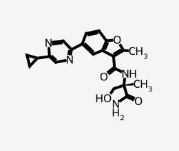 Cc1oc2ccc(-c3cnc(C4CC4)cn3)cc2c1C(=O)N[C@@](C)(CO)C(N)=O